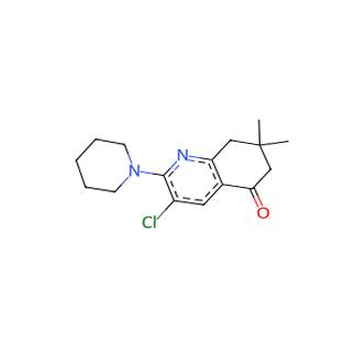 CC1(C)CC(=O)c2cc(Cl)c(N3CCCCC3)nc2C1